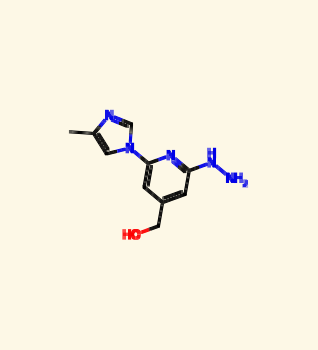 Cc1cn(-c2cc(CO)cc(NN)n2)cn1